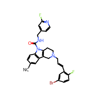 N#Cc1ccc2c(c1)c1c(n2C(=O)NCc2ccnc(F)c2)CCN(CC=Cc2cc(Br)ccc2F)C1